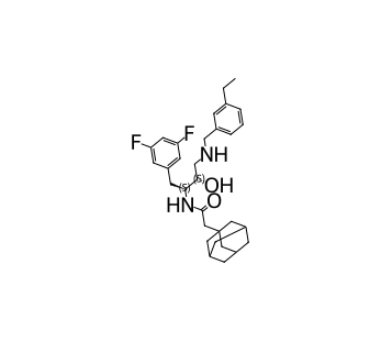 CCc1cccc(CNC[C@H](O)[C@H](Cc2cc(F)cc(F)c2)NC(=O)CC23CC4CC(CC(C4)C2)C3)c1